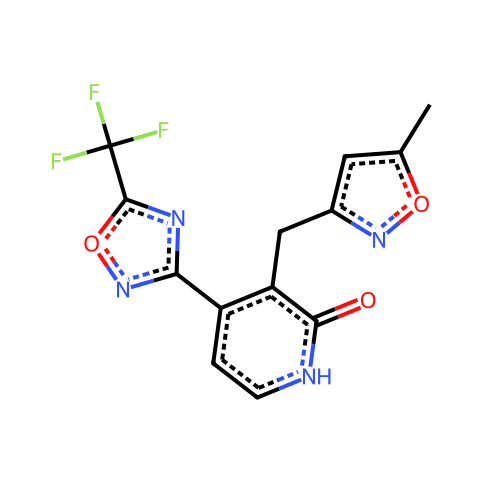 Cc1cc(Cc2c(-c3noc(C(F)(F)F)n3)cc[nH]c2=O)no1